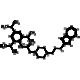 CC(C)c1cc(C(C)C)c(NC(=O)CN2CCN(CCSc3nc4ncccc4o3)CC2)c(C(C)C)c1